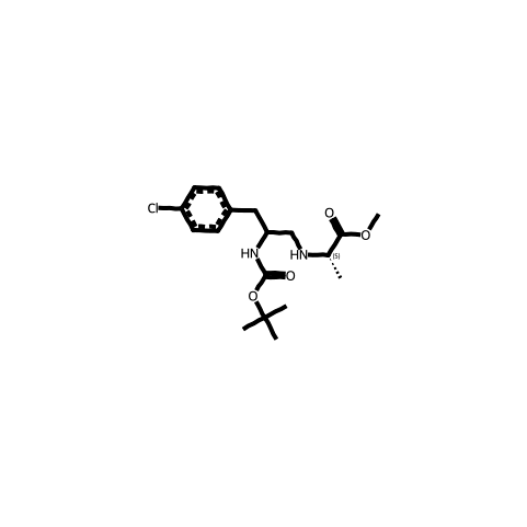 COC(=O)[C@H](C)NCC(Cc1ccc(Cl)cc1)NC(=O)OC(C)(C)C